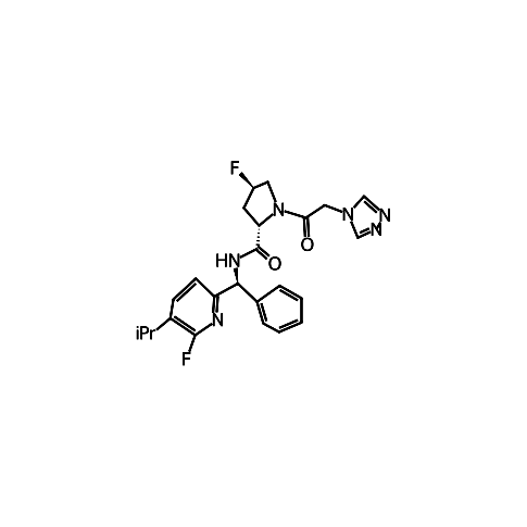 CC(C)c1ccc([C@@H](NC(=O)[C@@H]2C[C@@H](F)CN2C(=O)Cn2cnnc2)c2ccccc2)nc1F